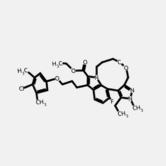 CCOC(=O)c1c(CCCOc2cc(C)c(Cl)c(C)c2)c2ccc(F)c3c2n1CCCCOCc1nn(C)c(CC)c1-3